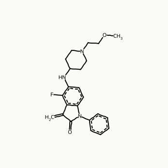 C=C1C(=O)N(c2ccccc2)c2ccc(NC3CCN(CCOC)CC3)c(F)c21